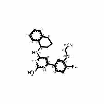 Cc1nc(N[C@@H]2CCCc3ccccc32)cc(-c2ccc(F)c(NCC#N)c2)n1